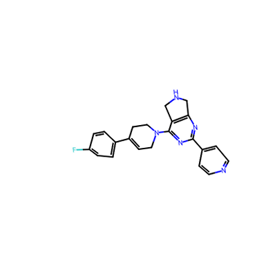 Fc1ccc(C2=CCN(c3nc(-c4ccncc4)nc4c3CNC4)CC2)cc1